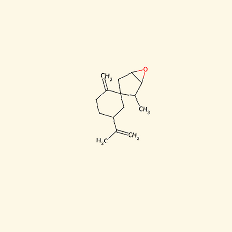 C=C(C)C1CCC(=C)C2(C1)CC1OC1C2C